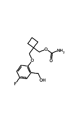 NC(=O)OCC1(COc2ccc(F)cc2CO)CCC1